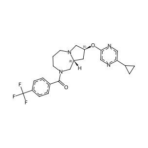 O=C(c1ccc(C(F)(F)F)cc1)N1CCCN2C[C@@H](Oc3cnc(C4CC4)cn3)C[C@@H]2C1